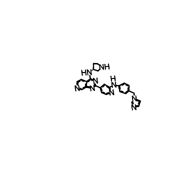 c1cc2c(N[C@@H]3CCNC3)nc(-c3ccnc(Nc4ccc(Cn5ccnc5)cc4)c3)nc2cn1